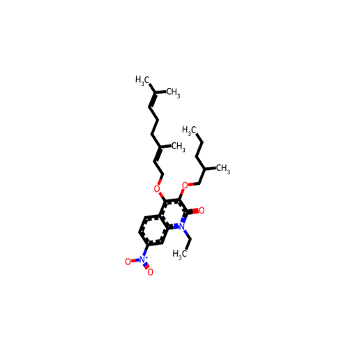 CCCC(C)COc1c(OC/C=C(\C)CCC=C(C)C)c2ccc([N+](=O)[O-])cc2n(CC)c1=O